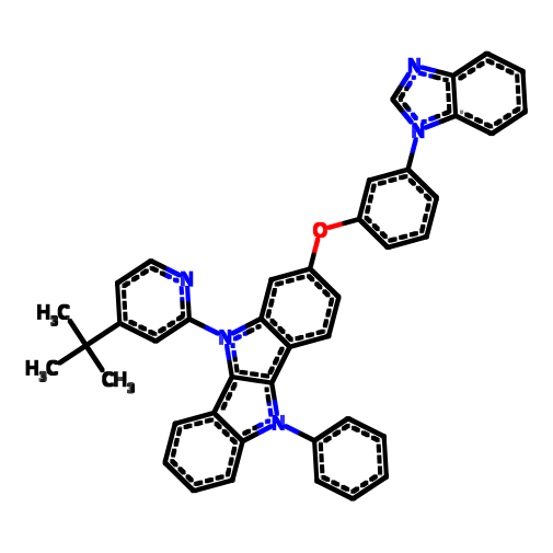 CC(C)(C)c1ccnc(-n2c3cc(Oc4cccc(-n5cnc6ccccc65)c4)ccc3c3c2c2ccccc2n3-c2ccccc2)c1